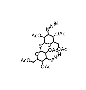 CC(=O)OCC1O[C@@H](S[C@@H]2O[C@H](COC(C)=O)[C@H](OC(C)=O)C(N=[N+]=[N-])C2OC(C)=O)[C@@H](OC(C)=O)C(N=[N+]=[N-])[C@H]1OC(C)=O